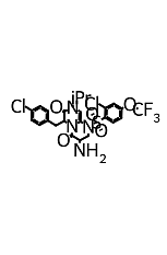 CC(C)N1C=C2N(C(=O)C(N)CN2S(=O)(=O)c2ccc(OC(F)(F)F)cc2Cl)C(Cc2ccc(Cl)cc2)C1=O